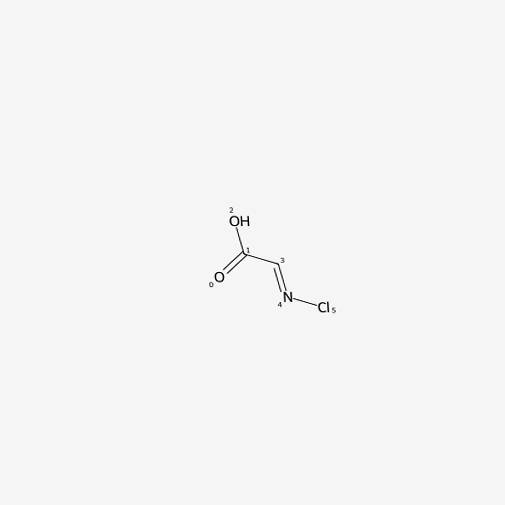 O=C(O)C=NCl